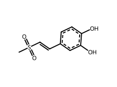 CS(=O)(=O)C=Cc1ccc(O)c(O)c1